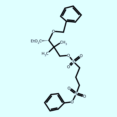 CCOC(=O)[C@H](OCc1ccccc1)C(C)(C)COS(=O)(=O)CCCS(=O)(=O)Oc1ccccc1